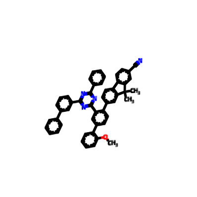 COc1ccccc1-c1ccc(-c2ccc3c(c2)C(C)(C)c2cc(C#N)ccc2-3)c(-c2nc(-c3ccccc3)nc(-c3cccc(-c4ccccc4)c3)n2)c1